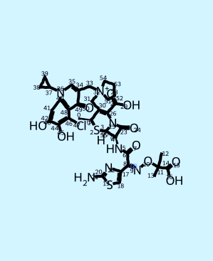 C[C@@H]1S[C@@H]2[C@H](NC(=O)/C(=N\OC(C)(C)C(=O)O)c3csc(N)n3)C(=O)N2C(C(=O)O)=C1C[N+]1(Cc2cn(C3CC3)c3cc(O)c(O)c(Cl)c3c2=O)CCCC1